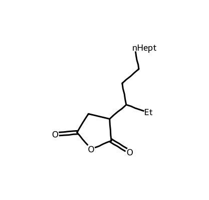 CCCCCCCCCC(CC)C1CC(=O)OC1=O